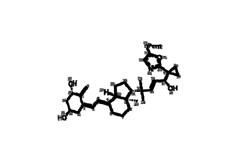 C=C1/C(=C\C=C2/CCC[C@]3(C)[C@@H](C(C)(C)/C=C/[C@H](O)C4(c5ncc(CCCCC)o5)CC4)CC[C@@H]23)C[C@@H](O)C[C@@H]1O